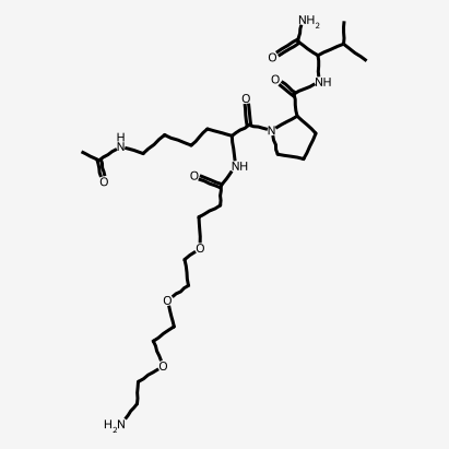 CC(=O)NCCCCC(NC(=O)CCOCCOCCOCCN)C(=O)N1CCCC1C(=O)NC(C(N)=O)C(C)C